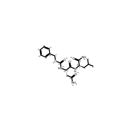 CC(C)C[C@@H](NC(=O)[C@H](CC(N)=O)NC(=O)OCc1ccccc1)C(N)=O